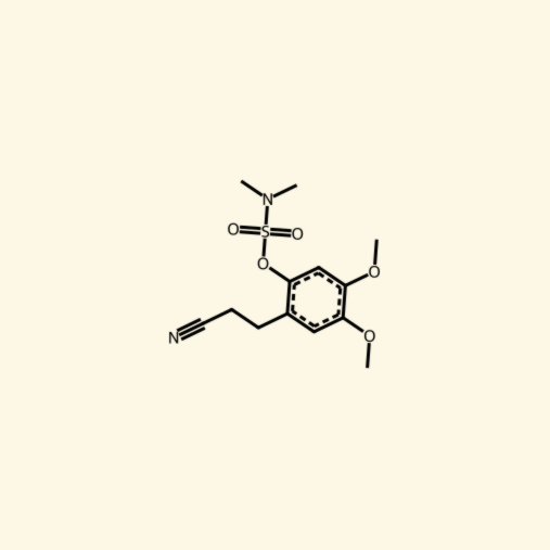 COc1cc(CCC#N)c(OS(=O)(=O)N(C)C)cc1OC